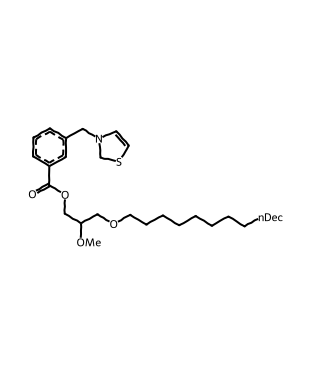 CCCCCCCCCCCCCCCCCCOCC(COC(=O)c1cccc(CN2C=CSC2)c1)OC